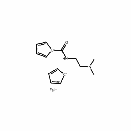 CN(C)CCNC(=O)[c-]1cccc1.[Fe+2].c1cc[cH-]c1